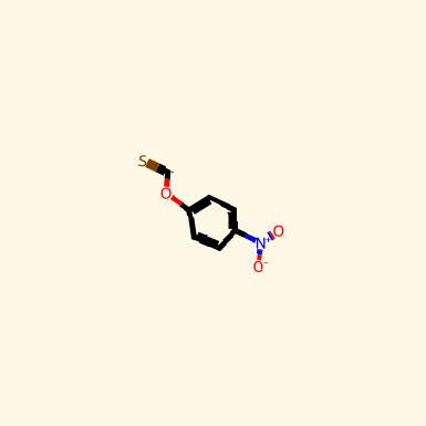 O=[N+]([O-])c1ccc(O[C]=S)cc1